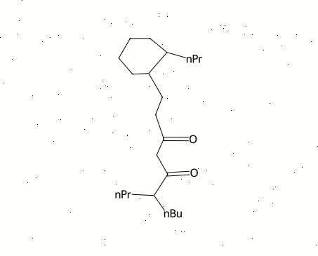 CCCCC(CCC)C(=O)CC(=O)CCC1CCCCC1CCC